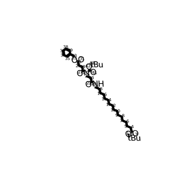 CC(C)(C)OC(=O)CCCCCCCCCCCCCCCCNC(=O)CCN(C(=O)CCC(=O)OCc1ccccc1)C(=O)OC(C)(C)C